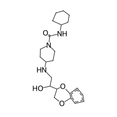 O=C(NC1CCCCC1)N1CCC(NCC(O)C2COc3ccccc3O2)CC1